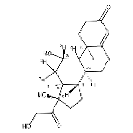 [2H]C12[C@@H](CCC3=CC(=O)CC[C@@]31C)[C@@H]1CC[C@](O)(C(=O)CO)[C@@]1(C)C([2H])([2H])[C@]2([2H])O